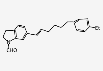 CCc1ccc(CCCC/C=C/c2ccc3c(c2)N(C=O)CC3)cc1